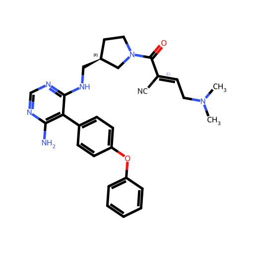 CN(C)C/C=C(\C#N)C(=O)N1CC[C@H](CNc2ncnc(N)c2-c2ccc(Oc3ccccc3)cc2)C1